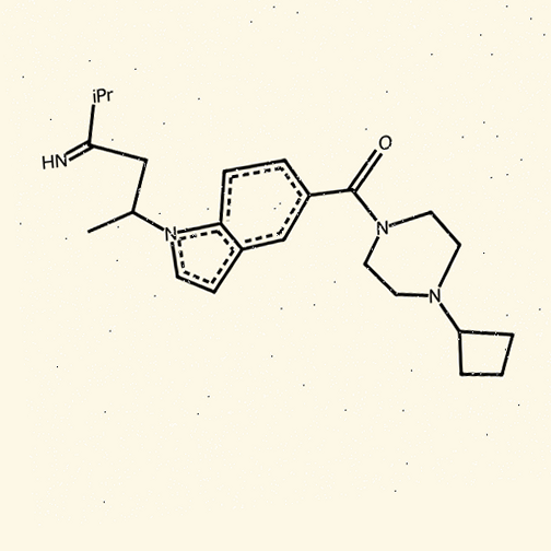 CC(C)C(=N)CC(C)n1ccc2cc(C(=O)N3CCN(C4CCC4)CC3)ccc21